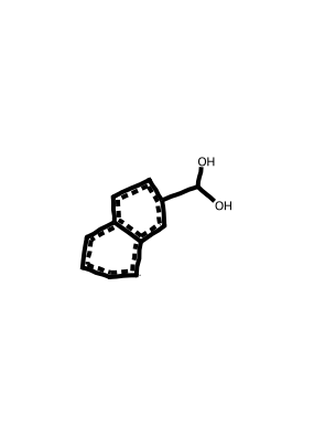 OC(O)c1ccc2ccc[c]c2c1